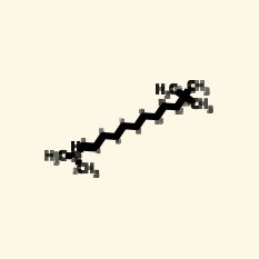 C[SiH](C)C=CCCCCCCCCC(C)(C)C